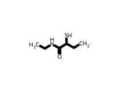 [CH2]CC(S)C(=O)NCC